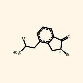 CCC(Cc1cccc2c1C[C@H](CC)C2=O)C(=O)O